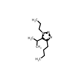 CCCCc1nnn(CCC)c1C(C)C